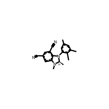 Cc1cc(C)c(C)c(N2c3c(C#N)cc(C#N)cc3N(C)[C@@H]2C)c1